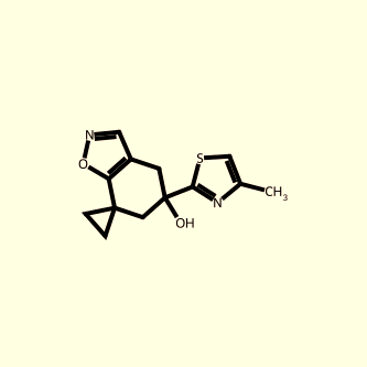 Cc1csc(C2(O)Cc3cnoc3C3(CC3)C2)n1